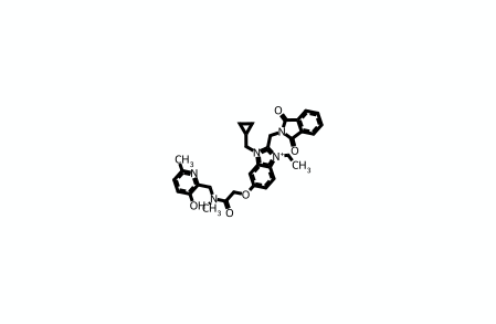 CC[n+]1c(CN2C(=O)c3ccccc3C2=O)n(CC2CC2)c2cc(OCC(=O)N(C)Cc3nc(C)ccc3O)ccc21